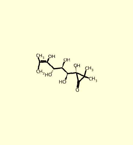 CC(C)=C(O)[C@@H](O)[C@@H](O)[C@H](O)[C@]1(O)C(=O)C1(C)C